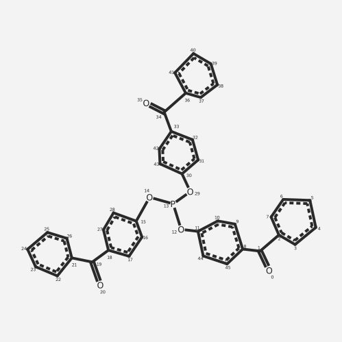 O=C(c1ccccc1)c1ccc(OP(Oc2ccc(C(=O)c3ccccc3)cc2)Oc2ccc(C(=O)c3ccccc3)cc2)cc1